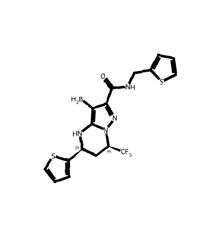 Bc1c(C(=O)NCc2cccs2)nn2c1N[C@H](c1cccs1)C[C@@H]2C(F)(F)F